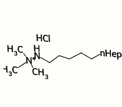 CCCCCCCCCCCCN[N+](C)(C)C.Cl